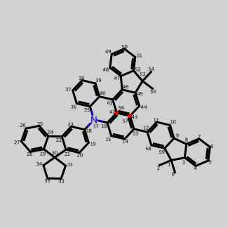 CC1(C)c2ccccc2-c2ccc(-c3ccc(N(c4ccc5c(c4)-c4ccccc4C54CCCC4)c4ccccc4-c4cccc5c4-c4ccccc4C5(C)C)cc3)cc21